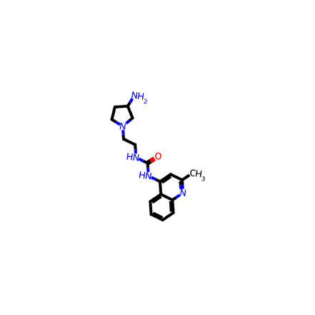 Cc1cc(NC(=O)NCCN2CCC(N)C2)c2ccccc2n1